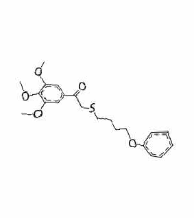 COc1cc(C(=O)CSCCCCOc2ccccc2)cc(OC)c1OC